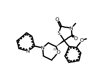 COc1ccccc1C1([C@@H]2CN(c3ccccn3)CCO2)SC(=O)N(C)C1=O